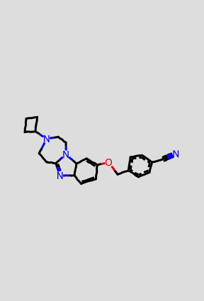 N#Cc1ccc(COC2=CC3C(C=C2)N=C2CCN(C4CCC4)CCN23)cc1